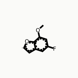 COc1cc(F)cc2c[c]oc12